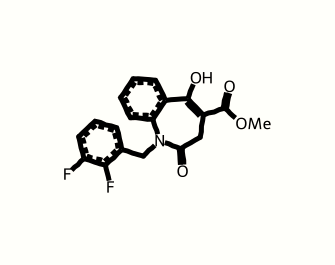 COC(=O)C1=C(O)c2ccccc2N(Cc2cccc(F)c2F)C(=O)C1